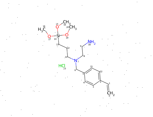 C=Cc1ccc(CN(CCN)CCC[Si](OC)(OC)OC)cc1.Cl